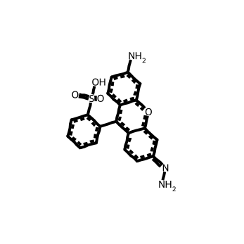 N/N=c1\ccc2c(-c3ccccc3S(=O)(=O)O)c3ccc(N)cc3oc-2c1